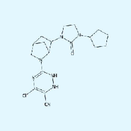 N#CC1=C(Cl)N=C(N2CC3CC(N4CCN(C5CCCC5)C4=O)C2C3)NN1